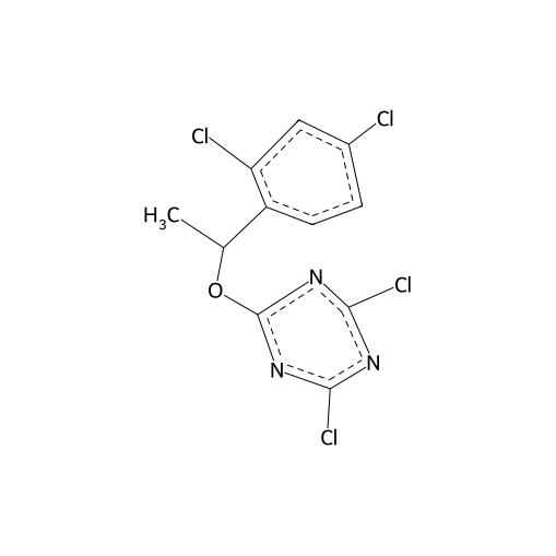 CC(Oc1nc(Cl)nc(Cl)n1)c1ccc(Cl)cc1Cl